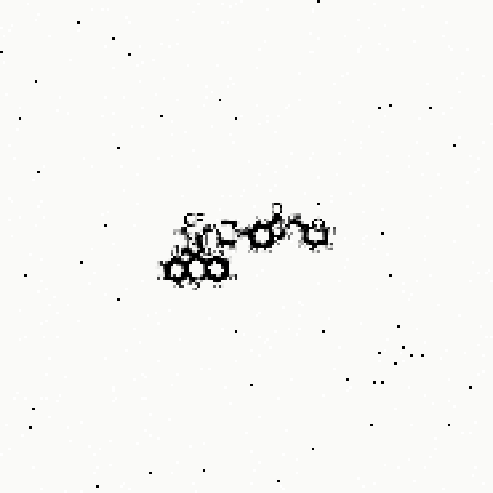 O=C1c2cc(N3CCN(CCCC4(C(=O)NCC(F)(F)F)c5ccccc5Sc5ccccc54)CC3)ccc2CN1CC1CCCCO1